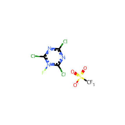 F[n+]1c(Cl)nc(Cl)nc1Cl.O=S(=O)([O-])C(F)(F)F